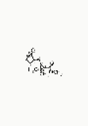 COC(=O)C1C(C=C2CCSC2=O)C1(C)C